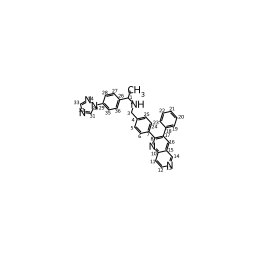 CC(NCc1ccc(-c2nc3ccncc3cc2-c2ccccc2)cc1)c1ccc(-n2cncn2)cc1